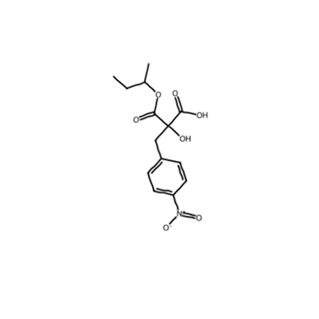 CCC(C)OC(=O)C(O)(Cc1ccc([N+](=O)[O-])cc1)C(=O)O